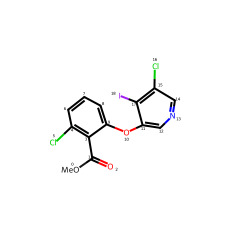 COC(=O)c1c(Cl)cccc1Oc1cncc(Cl)c1I